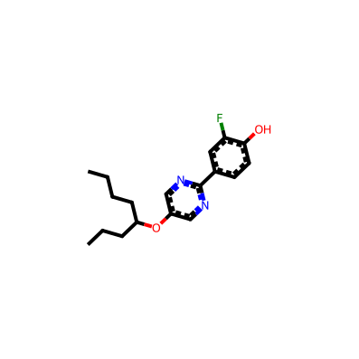 CCCCC(CCC)Oc1cnc(-c2ccc(O)c(F)c2)nc1